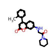 Cc1ccccc1-c1cc(=O)oc2cc(NCC(=O)N3CCCCC3)ccc12